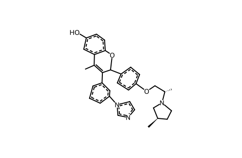 CC1=C(c2cccc(-n3ccnc3)c2)C(c2ccc(OC[C@H](C)N3CC[C@@H](C)C3)cc2)Oc2ccc(O)cc21